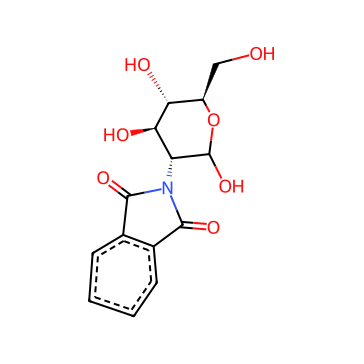 O=C1c2ccccc2C(=O)N1[C@H]1C(O)O[C@H](CO)[C@@H](O)[C@@H]1O